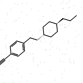 C#Cc1ccc(CC[C@H]2CC[C@H](CCC)CC2)cc1